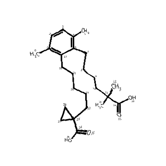 Cc1ccc(C)c(CCCCC(C)(C)C(=O)O)c1CCCCCC1(C(=O)O)CC1